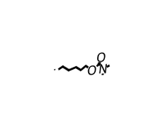 [CH2]CCCCCOC(=O)N(C)C